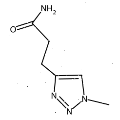 Cn1cc(CCC(N)=O)nn1